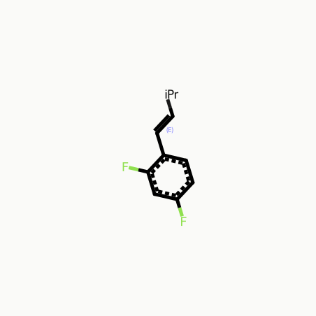 CC(C)/C=C/c1ccc(F)cc1F